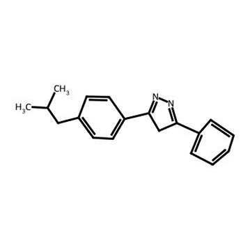 CC(C)Cc1ccc(C2=NN=C(c3ccccc3)C2)cc1